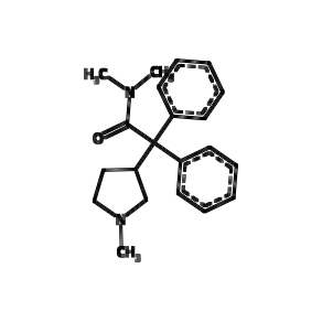 CN1CCC(C(C(=O)N(C)C)(c2ccccc2)c2ccccc2)C1